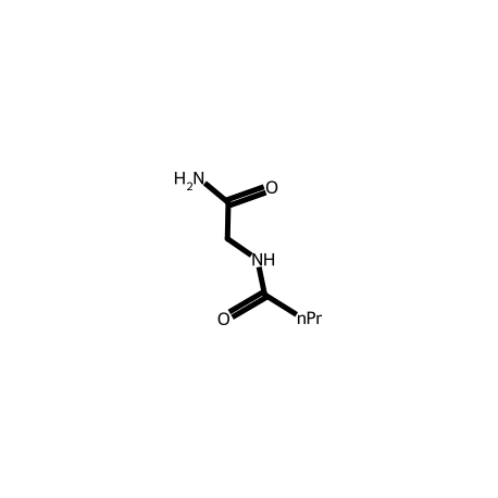 C[CH]CC(=O)NCC(N)=O